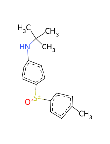 Cc1ccc([S+]([O-])c2ccc(NC(C)(C)C)cc2)cc1